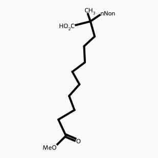 CCCCCCCCCC(C)(CCCCCCCCC(=O)OC)C(=O)O